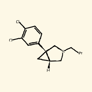 CC(C)CN1C[C@@H]2C[C@]2(c2ccc(Cl)c(Cl)c2)C1